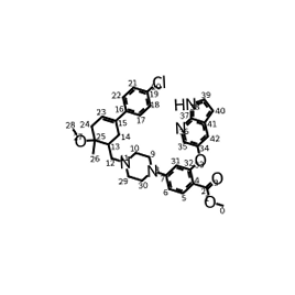 COC(=O)c1ccc(N2CCN(CC3CC(c4ccc(Cl)cc4)=CCC3(C)OC)CC2)cc1Oc1cnc2[nH]ccc2c1